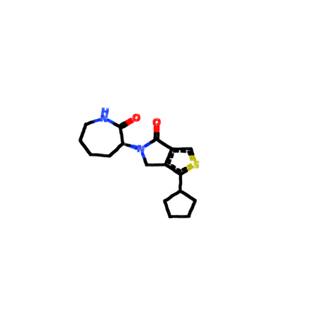 O=C1NCCCC[C@@H]1N1Cc2c(csc2C2CCCC2)C1=O